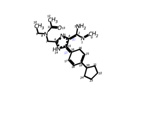 C=N/C(N)=c1/nc(CN(CC)C(C)=O)[nH]/c1=C1\C=CC(C2CCCC2)=CC1